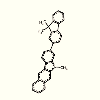 Cn1c2cc(-c3ccc4c(c3)C(C)(C)c3ccccc3-4)ccc2c2cc3ccccc3cc21